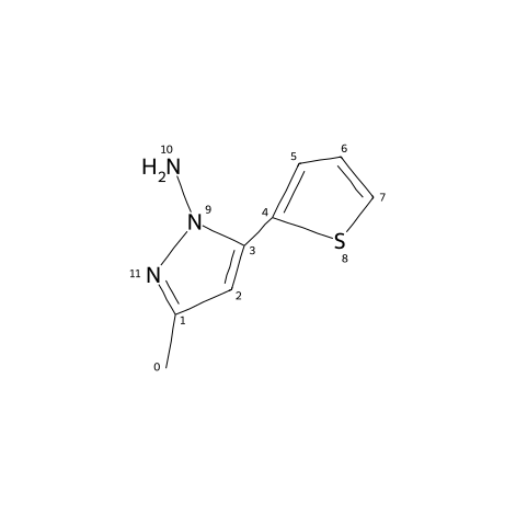 Cc1cc(-c2cccs2)n(N)n1